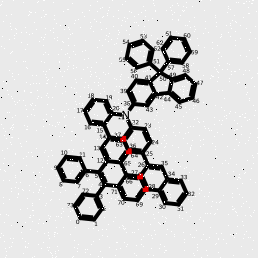 c1ccc(-c2c(-c3ccccc3)c3cc(-c4ccccc4N(c4ccc(-c5ccc6ccccc6c5)cc4)c4ccc5c(c4)-c4ccccc4C5(c4ccccc4)c4ccccc4)ccc3c3ccccc23)cc1